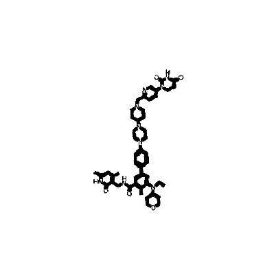 CCN(c1cc(-c2ccc(N3CCN(C4CCN(Cc5ccc(N6CCC(=O)NC6=O)cn5)CC4)CC3)cc2)cc(C(=O)NCc2c(C)cc(C)[nH]c2=O)c1C)C1CCOCC1